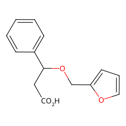 O=C(O)CC(OCc1ccco1)c1ccccc1